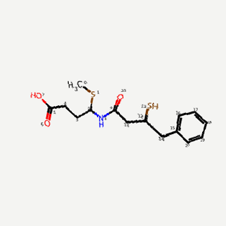 CSC(CCC(=O)O)NC(=O)CC(S)Cc1ccccc1